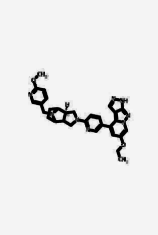 CCOc1cc(-c2ccc(N3CC4C5CCC([C@H]4C3)N5Cc3ccc(OC)nc3)nc2)c2c3cn[nH]c3nn2c1